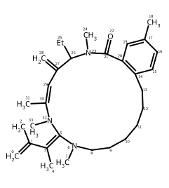 C=C(C)/C(C)=C1/N(C)CCCCCCc2ccc(C)cc2C(=O)N(C)C(CC)C(=C)/C=C(/C)N1C